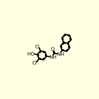 O=C(Nc1cc(Cl)c(O)c(Cl)c1)Nc1ccc2ccccc2c1